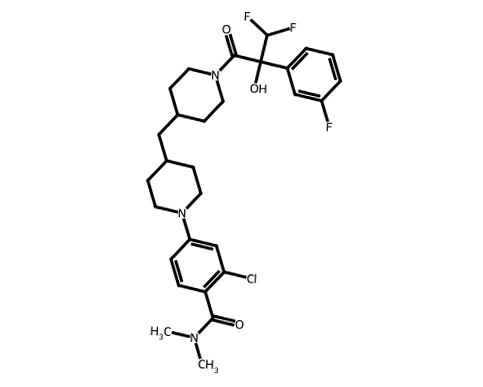 CN(C)C(=O)c1ccc(N2CCC(CC3CCN(C(=O)C(O)(c4cccc(F)c4)C(F)F)CC3)CC2)cc1Cl